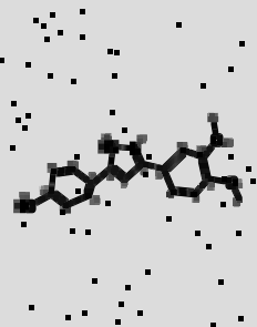 COc1ccc(-c2cc(-c3ccc(O)cc3)[nH]n2)cc1OC